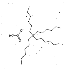 CCCCCC[N+](CCCCCC)(CCCCCC)CCCCCC.O=S([O-])O